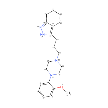 COc1ccccc1N1CCN(CCCc2[nH]nc3c2CCCC3)CC1